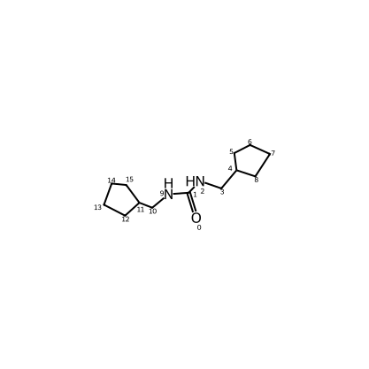 O=C(NCC1CCCC1)NCC1CCCC1